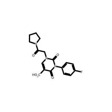 O=C(O)c1cn(CC(=O)N2CCCC2)c(=O)n(-c2ccc(F)cc2)c1=O